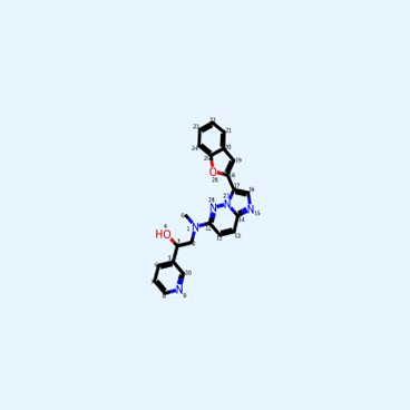 CN(CC(O)c1cccnc1)c1ccc2ncc(-c3cc4ccccc4o3)n2n1